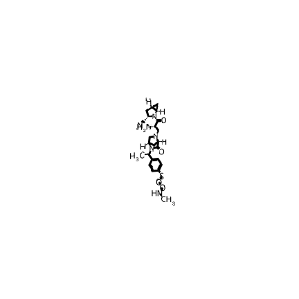 CNOOSc1ccc([C@@H](C)N2C(=O)[C@@H]3C[C@H]2CN3C[C@H](N)C(=O)N2[C@H](C#N)C[C@@H]3C[C@@H]32)cc1